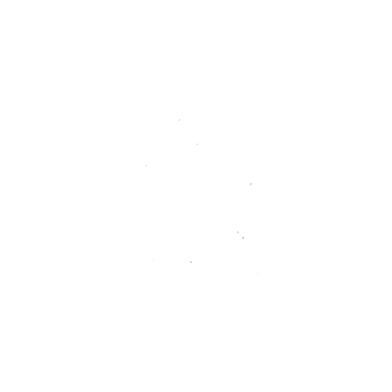 CCOCC.O/N=C1\CCCCC1c1ccccc1